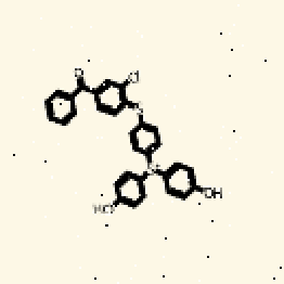 O=C(c1ccccc1)c1ccc(Sc2ccc([S+](c3ccc(O)cc3)c3ccc(O)cc3)cc2)c(Cl)c1